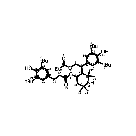 CCC(=O)OCC(c1cc(C(C)(C)C)c(O)c(C(C)(C)C)c1)C1C(OC(=O)CCc2cc(C(C)(C)C)c(O)c(C(C)(C)C)c2)CC(C)(C)NC1(C)C